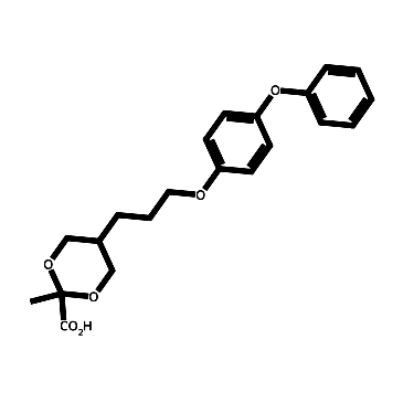 CC1(C(=O)O)OCC(CCCOc2ccc(Oc3ccccc3)cc2)CO1